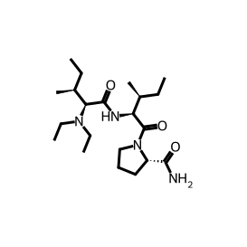 CC[C@H](C)[C@H](NC(=O)[C@H]([C@@H](C)CC)N(CC)CC)C(=O)N1CCC[C@H]1C(N)=O